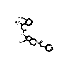 COc1ccccc1C(C)CC(=O)Nc1sc2c(c1C#N)CCN(C(=O)Cc1cccnc1)C2